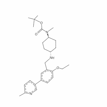 CCOc1ccc(-c2ccc(C)nc2)cc1CN[C@H]1CC[C@H](N(C)C(=O)OC(C)(C)C)CC1